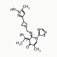 CCCn1nc(C2CN(C/N=C3\C(=C(\C)C(C)C)C(=O)C(C)=CN3c3ncns3)C2)cc1C